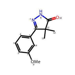 COc1cccc(C2=NNC(=O)C2(C)C)c1